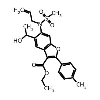 C=CCN(c1cc2oc(-c3ccc(C)cc3)c(C(=O)OCC)c2cc1C(C)O)S(C)(=O)=O